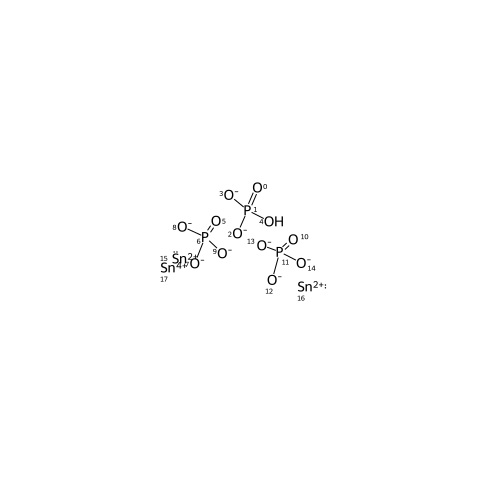 O=P([O-])([O-])O.O=P([O-])([O-])[O-].O=P([O-])([O-])[O-].[Sn+2].[Sn+2].[Sn+4]